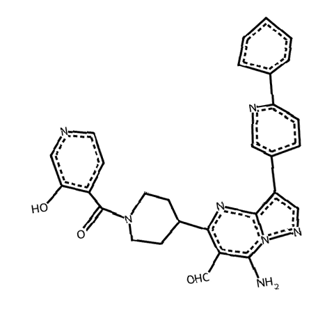 Nc1c(C=O)c(C2CCN(C(=O)c3ccncc3O)CC2)nc2c(-c3ccc(-c4ccccc4)nc3)cnn12